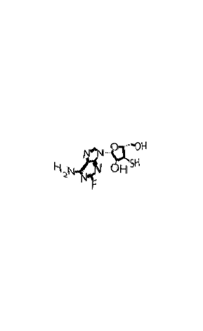 Nc1nc(F)nc2c1ncn2[C@@H]1O[C@H](CO)[C@@H](S)[C@@H]1O